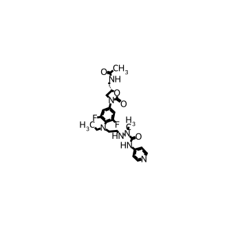 CCN(CCNN(C)C(=O)Nc1ccncc1)c1c(F)cc(N2C[C@H](CNC(C)=O)OC2=O)cc1F